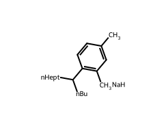 CCCCCCCC(CCCC)c1ccc(C)cc1C.[NaH]